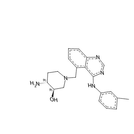 Cc1cccc(Nc2ncnc3cccc(CN4CC[C@@H](N)[C@H](O)C4)c23)c1